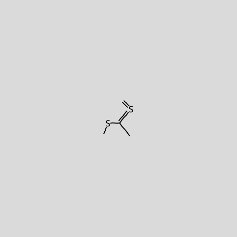 C=S=C(C)SC